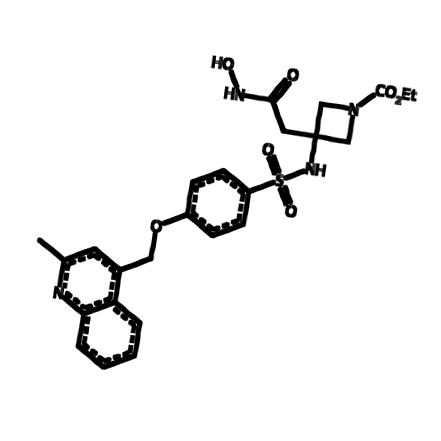 CCOC(=O)N1CC(CC(=O)NO)(NS(=O)(=O)c2ccc(OCc3cc(C)nc4ccccc34)cc2)C1